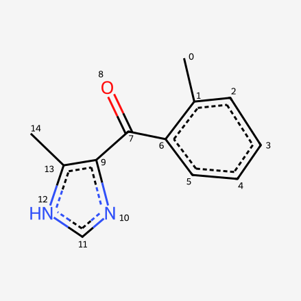 Cc1ccccc1C(=O)c1nc[nH]c1C